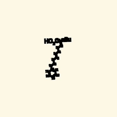 CCCCC(CCCC=CCCCc1ccccc1)C(=O)O